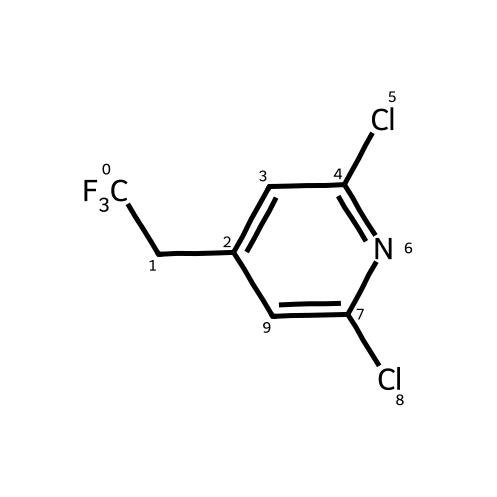 FC(F)(F)Cc1cc(Cl)nc(Cl)c1